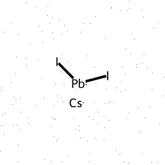 [Cs].[I][Pb][I]